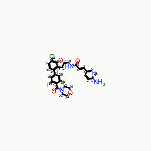 Nc1ccc(C=CC(=O)NCC2Cc3c(-c4cc(F)c(C(=O)N5CCOCC5)c(F)c4)ccc(Cl)c3O2)cn1